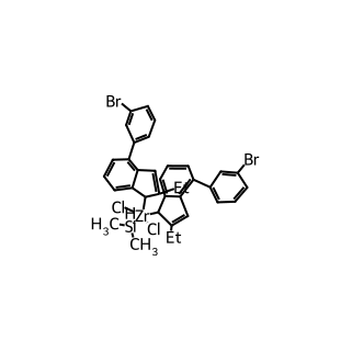 CCC1=Cc2c(-c3cccc(Br)c3)cccc2[CH]1[Zr]([Cl])([Cl])([CH]1C(CC)=Cc2c(-c3cccc(Br)c3)cccc21)[SiH](C)C